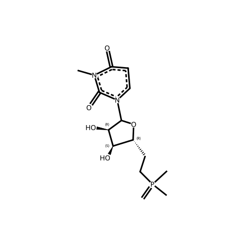 C=P(C)(C)CC[C@H]1OC(n2ccc(=O)n(C)c2=O)[C@H](O)[C@@H]1O